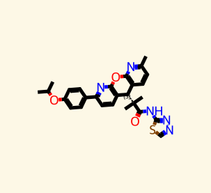 Cc1ccc2c(n1)Oc1nc(-c3ccc(OC(C)C)cc3)ccc1[C@H]2C(C)(C)C(=O)Nc1nncs1